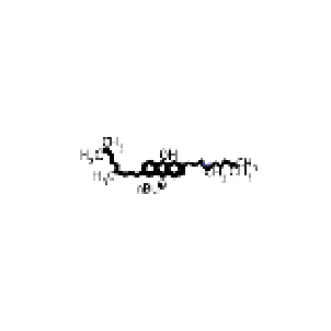 CCCCOc1c2ccc(CC/C=C(\C)CCC=C(C)C)cc2c(O)c2ccc(CCCC(C)CCC=C(C)C)cc12